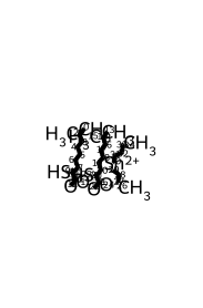 CC(C)CCCCC[C@H](S)C(=O)[O-].CC(C)CCCCC[C@H](S)C(=O)[O-].CCC[CH2][Sn+2][CH2]CCC